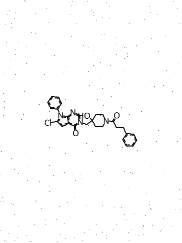 O=C(CCc1ccccc1)N1CCC(O)(Cn2cnc3c(cc(Cl)n3-c3ccccc3)c2=O)CC1